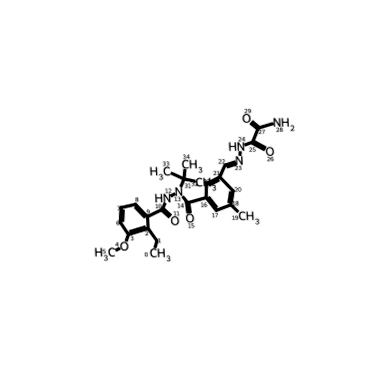 CCc1c(OC)cccc1C(=O)NN(C(=O)c1cc(C)cc(/C=N/NC(=O)C(N)=O)c1)C(C)(C)C